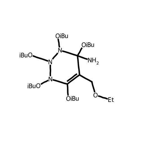 CCOCC1=C(OCC(C)C)N(OCC(C)C)N(OCC(C)C)N(OCC(C)C)C1(N)OCC(C)C